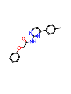 Cc1ccc(-c2ccnc(NC(=O)COc3ccccc3)n2)cc1